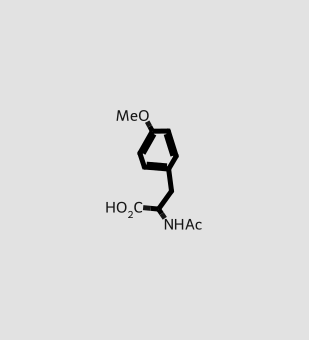 COc1ccc(CC(NC(C)=O)C(=O)O)cc1